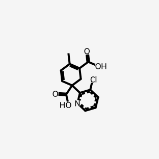 CC1=C(C(=O)O)CC(C(=O)O)(c2ncccc2Cl)C=C1